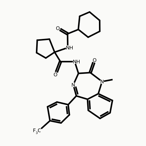 CN1C(=O)C(NC(=O)C2(NC(=O)C3CCCCC3)CCCC2)N=C(c2ccc(C(F)(F)F)cc2)c2ccccc21